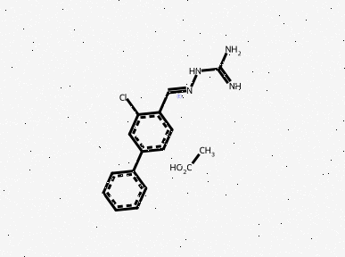 CC(=O)O.N=C(N)N/N=C/c1ccc(-c2ccccc2)cc1Cl